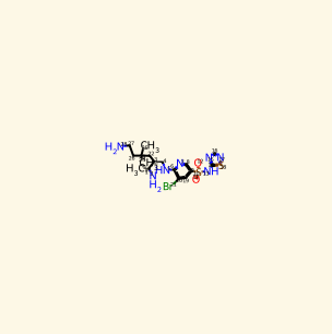 C[C@@H](N)[C@H](CNc1ncc(S(=O)(=O)Nc2ncns2)cc1Br)CC(C)(C)CCN